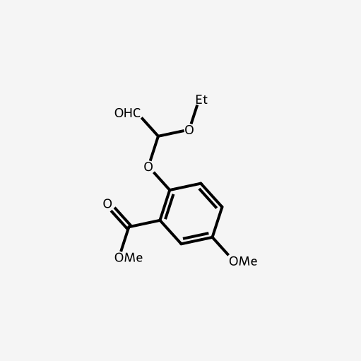 CCOC(C=O)Oc1ccc(OC)cc1C(=O)OC